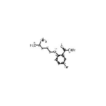 COC(=O)c1cc(Br)ccc1OCCCC(C)N